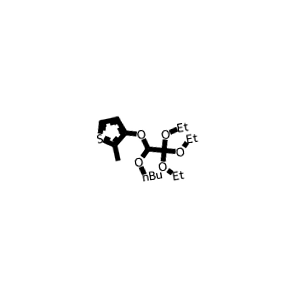 CCCCOC(Oc1ccsc1C)C(OCC)(OCC)OCC